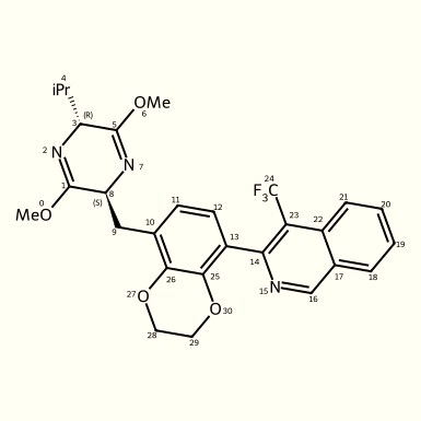 COC1=N[C@H](C(C)C)C(OC)=N[C@H]1Cc1ccc(-c2ncc3ccccc3c2C(F)(F)F)c2c1OCCO2